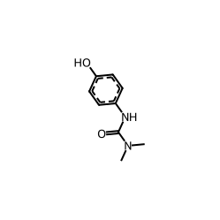 CN(C)C(=O)Nc1ccc(O)cc1